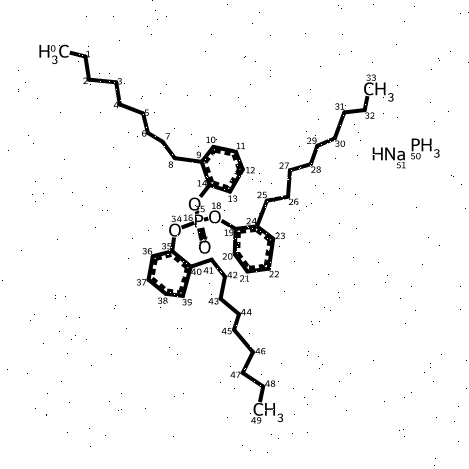 CCCCCCCCCc1ccccc1OP(=O)(Oc1ccccc1CCCCCCCCC)Oc1ccccc1CCCCCCCCC.P.[NaH]